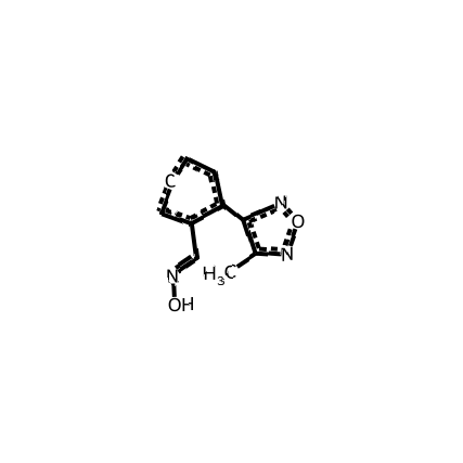 Cc1nonc1-c1ccccc1C=NO